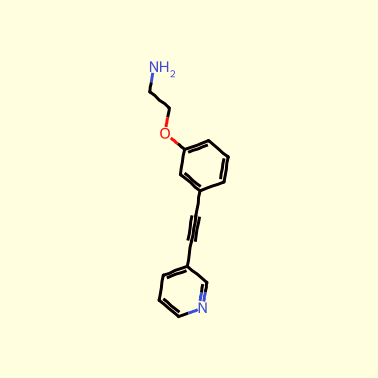 NCCOc1cccc(C#Cc2cccnc2)c1